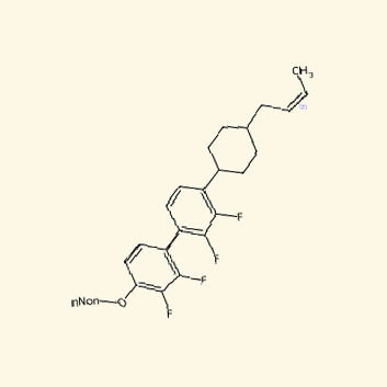 C/C=C\CC1CCC(c2ccc(-c3ccc(OCCCCCCCCC)c(F)c3F)c(F)c2F)CC1